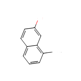 CCCCCCc1cccc2ccc(O)cc12